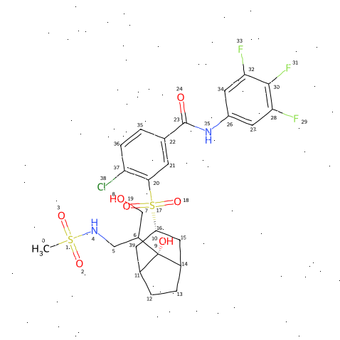 CS(=O)(=O)NCC(CO)[C@]1(O)C2CCC1C[C@@H](S(=O)(=O)c1cc(C(=O)Nc3cc(F)c(F)c(F)c3)ccc1Cl)C2